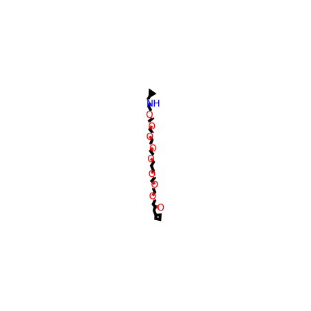 O=C(CCOCCOCCOCCCOCCOCCOCCOCCOCCNCC1CC1)CC1CCC1